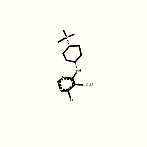 CCOC(=O)c1c(CC)ncnc1N[C@H]1CC[C@@H]([Si](C)(C)C)CC1